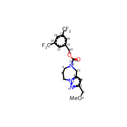 COCc1cc2n(n1)CCCN(C(=O)OCc1cc(C(F)(F)F)cc(C(F)(F)F)c1)C2